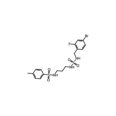 Cc1ccc(S(=O)(=O)NCCCNS(=O)(=O)NCc2ccc(Br)cc2F)cc1